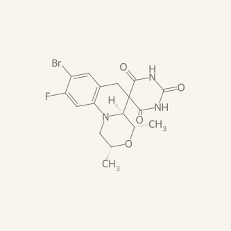 C[C@@H]1CN2c3cc(F)c(Br)cc3CC3(C(=O)NC(=O)NC3=O)[C@H]2[C@H](C)O1